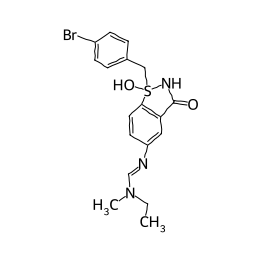 CCN(C)C=Nc1ccc2c(c1)C(=O)NS2(O)Cc1ccc(Br)cc1